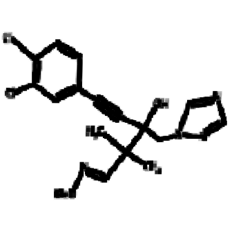 CON=CC(C)(C)C(O)(C#Cc1ccc(Cl)c(Cl)c1)Cn1cncn1